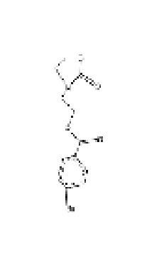 CCC(C)c1ccc(C(=O)OCCN2CCOC2=O)cc1